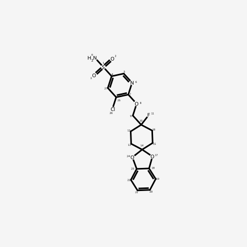 NS(=O)(=O)c1cnc(OCC2(F)CCC3(CC2)Oc2ccccc2O3)c(Cl)c1